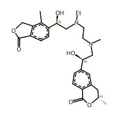 CCN(CCN(C)C[C@H](O)c1ccc2c(c1)C[C@H](C)OC2=O)C[C@H](O)c1ccc2c(c1C)COC2=O